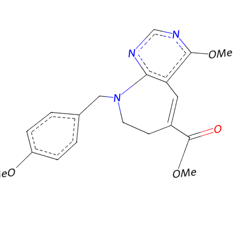 COC(=O)C1=Cc2c(OC)ncnc2N(Cc2ccc(OC)cc2)CC1